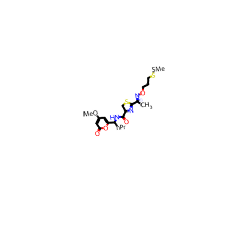 CCCC(NC(=O)C1CSC(/C(C)=N/OCCCSSC)=N1)c1cc(OC)cc(=O)o1